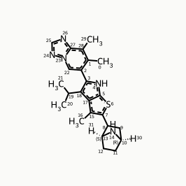 Cc1c(-c2[nH]c3sc(C4C[C@H]5CC[C@@H]4N5)c(C)c3c2C(C)C)cn2ncnc2c1C